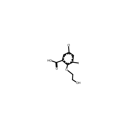 O=C(O)c1cc(Cl)cc(I)c1OCCO